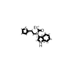 CCC(=O)N(CCc1cccs1)c1c[nH]c2ccccc12